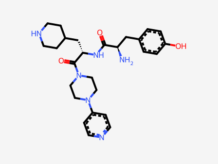 N[C@H](Cc1ccc(O)cc1)C(=O)N[C@@H](CC1CCNCC1)C(=O)N1CCN(c2ccncc2)CC1